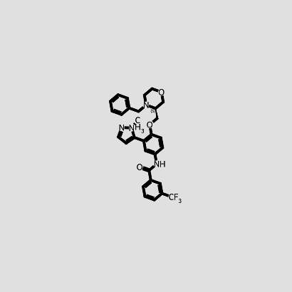 Cn1nccc1-c1cc(NC(=O)c2cccc(C(F)(F)F)c2)ccc1OC[C@@H]1COCCN1Cc1ccccc1